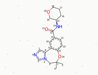 CC1(C)Cn2cncc2-c2cc(C(=O)N[C@@H]3CCCOC3)ccc2O1